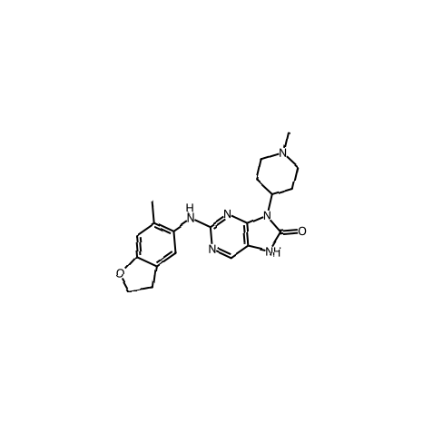 Cc1cc2c(cc1Nc1ncc3[nH]c(=O)n(C4CCN(C)CC4)c3n1)CCO2